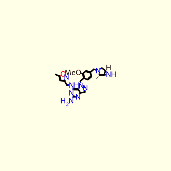 COc1cc(CN2C[C@H]3NC3[C@@H]2C)ccc1Cn1ncc2nc(N)nc(NCc3cc(C)on3)c21